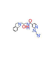 CN(C)CCN(C)c1cc(C(=O)NCC(O)CN2CCc3ccccc3C2)ccn1